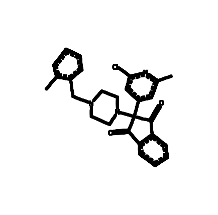 Cc1cc(C2(N3CCN(Cc4ccccc4C)CC3)C(=O)c3ccccc3C2=O)cc(Cl)n1